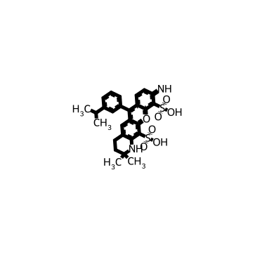 CC(C)c1cccc(-c2c3ccc(=N)c(S(=O)(=O)O)c-3oc3c(S(=O)(=O)O)c4c(cc23)CCC(C)(C)N4)c1